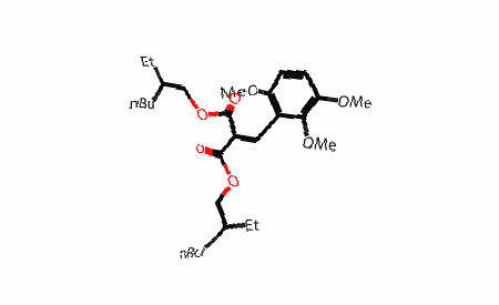 CCCCC(CC)COC(=O)C(Cc1c(OC)ccc(OC)c1OC)C(=O)OCC(CC)CCCC